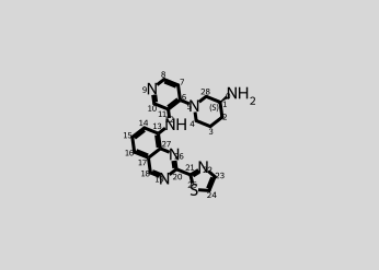 N[C@H]1CCCN(c2ccncc2Nc2cccc3cnc(-c4nccs4)nc23)C1